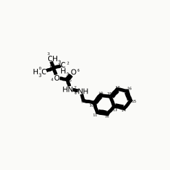 CC(C)(C)OC(=O)NNCc1ccc2ccccc2c1